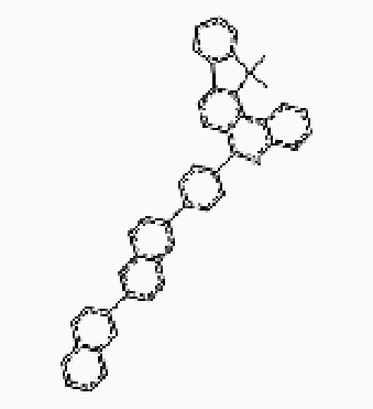 CC1(C)c2ccccc2-c2ccc3c(-c4ccc(-c5ccc6cc(-c7ccc8ccccc8c7)ccc6c5)cc4)nc4ccccc4c3c21